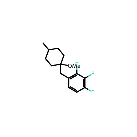 COC1(Cc2ccc(F)c(F)c2F)CCC(C)CC1